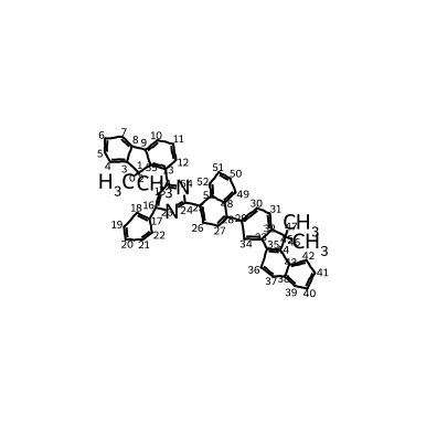 CC1(C)c2ccccc2-c2cccc(-c3cc(-c4ccccc4)nc(-c4ccc(-c5ccc6c(c5)-c5ccc7ccccc7c5C6(C)C)c5ccccc45)n3)c21